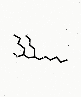 CCCCCCC([CH]C(CC)CCCC)CCCC